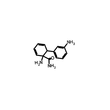 NC(=O)C1(N)C=CC=CC1c1cccc(N)c1